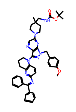 COc1ccc(Cn2nc(N3CCCc4nc(N=C(c5ccccc5)c5ccccc5)ccc43)c3ncc(N4CCC(C)(CNC(=O)OC(C)(C)C)CC4)nc32)cc1